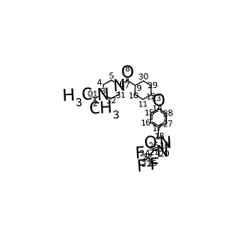 CC(C)N1CCN(C(=O)C2CCC(Oc3ccc(-c4nnc(C(F)(F)F)o4)cc3)CC2)CC1